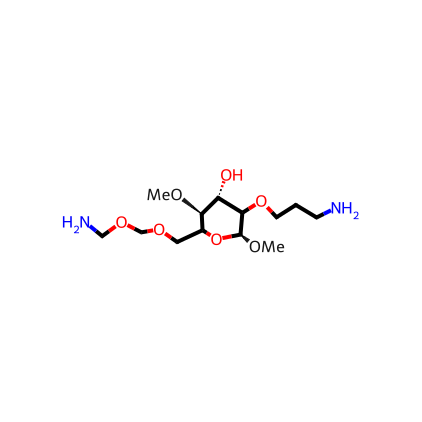 CO[C@H]1OC(COCOCN)[C@@H](OC)[C@H](O)C1OCCCN